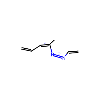 C=C/C=C(C)\N=N/C=C